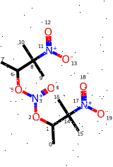 CC(O[N+](=O)OC(C)C(C)(C)[N+](=O)[O-])C(C)(C)[N+](=O)[O-]